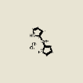 [Cl-].[Cl-].c1c[nH][c]([Zr+2][c]2ccc[nH]2)c1